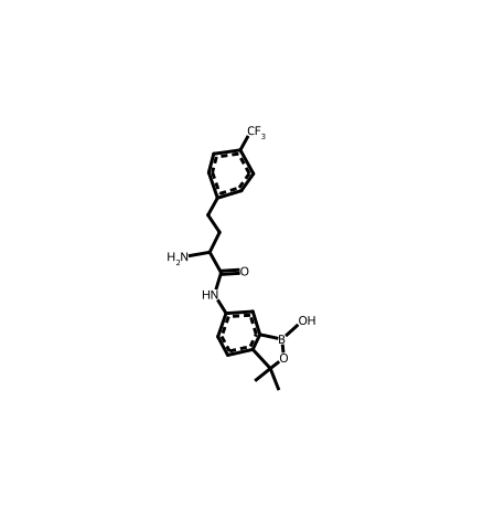 CC1(C)OB(O)c2cc(NC(=O)C(N)CCc3ccc(C(F)(F)F)cc3)ccc21